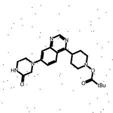 CC(C)(C)C(=O)ON1CCC(c2ncnc3cc(N4CCNC(=O)C4)ccc23)CC1